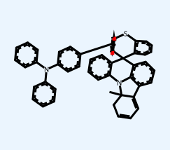 CC12CC=CC=C1c1cccc3c1N2c1ccccc1C31c2ccccc2Sc2ccc(-c3ccc(N(c4ccccc4)c4ccccc4)cc3)cc21